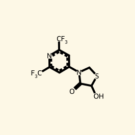 O=C1C(O)SCN1c1cc(C(F)(F)F)nc(C(F)(F)F)c1